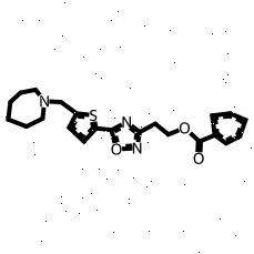 O=C(OCCc1noc(-c2ccc(CN3CCCCCC3)s2)n1)c1ccccc1